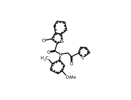 COc1ccc(C)c(N(CC(=O)c2cccs2)C(=O)c2sc3ccccc3c2Cl)c1